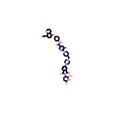 N#Cc1ccc(OC2CCC(NC(=O)c3cnc(N4CCC(CN5CCN(c6ccc7c(c6)C(=O)N(C6CCC(=O)NC6O)C7=O)CC5)CC4)c(F)c3)CC2)c2cccnc12